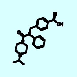 CC(C)N1CCN(C(=O)N(Cc2ccc(C(=O)O)cc2)c2ccccc2)CC1